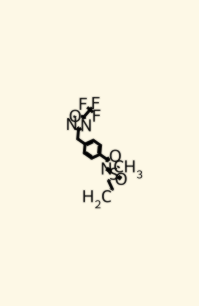 C=CCS(C)(=O)=NC(=O)c1ccc(Cc2noc(C(F)(F)F)n2)cc1